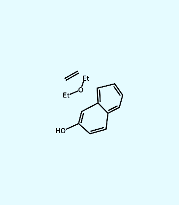 C=C.CCOCC.Oc1ccc2ccccc2c1